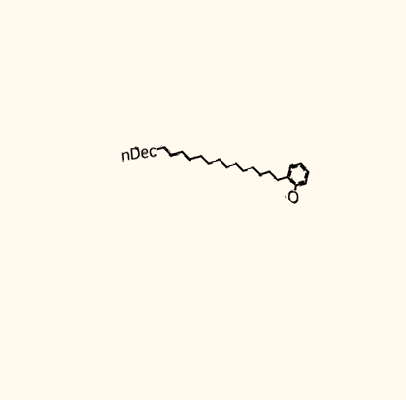 CCCCCCCCCCCCCCCCCCCCCCCCc1ccccc1[O]